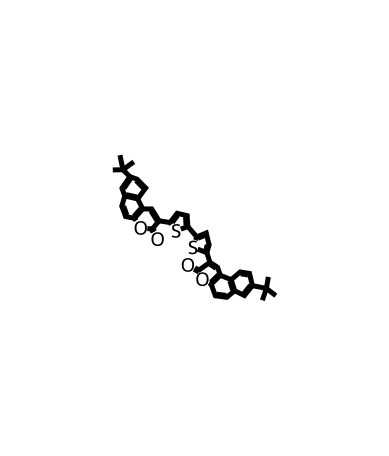 CC(C)(C)c1ccc2c(ccc3oc(=O)c(-c4ccc(-c5ccc(-c6cc7c(ccc8cc(C(C)(C)C)ccc87)oc6=O)s5)s4)cc32)c1